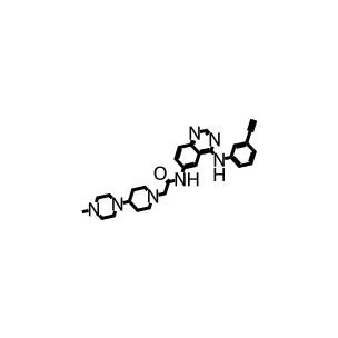 C#Cc1cccc(Nc2ncnc3ccc(NC(=O)CN4CCC(N5CCN(C)CC5)CC4)cc23)c1